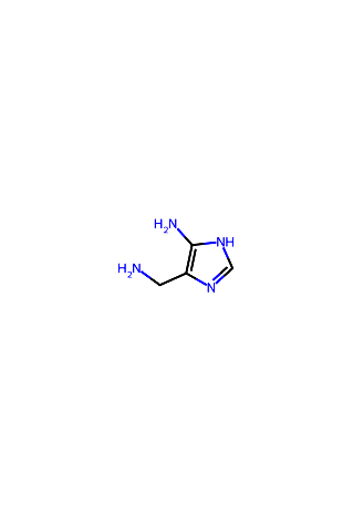 NCc1nc[nH]c1N